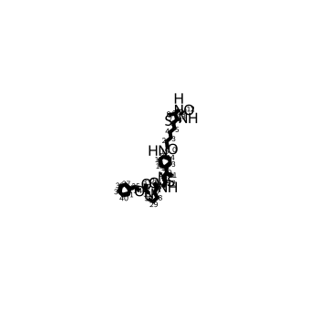 O=C(CCCCC1SCC2NC(=O)NC21)Nc1ccc(-c2csc(NC(=O)C3CCCN3C(=O)OCc3ccccc3)n2)cc1